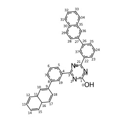 Oc1nc(-c2cccc(C3=CC4C=CC=CC4C=C3)c2)nc(-c2cccc(-c3ccc4ccccc4c3)c2)n1